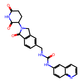 O=C1CCC(N2Cc3cc(CNC(=O)Nc4ccc5ncccc5c4)ccc3C2=O)C(=O)N1